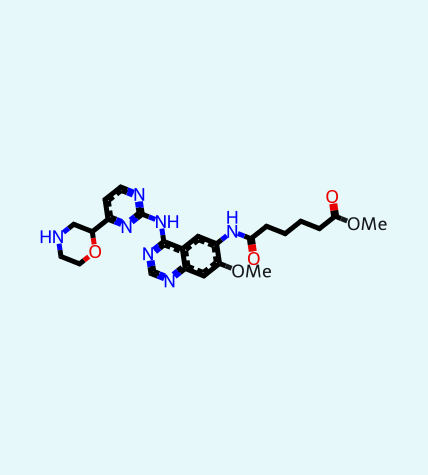 COC(=O)CCCCC(=O)Nc1cc2c(Nc3nccc(C4CNCCO4)n3)ncnc2cc1OC